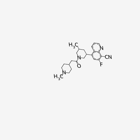 CC1CC(c2cc(F)c(C#N)c3ncccc23)CN(C(=O)CC2CCN(C)CC2)C1